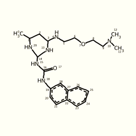 CC1CC(NCCOCCN(C)C)NC(NC(=O)Nc2ccc3ccccc3c2)N1